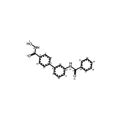 O=C(NO)c1ccc(-c2cccc(NC(=O)c3ccccc3)c2)cc1